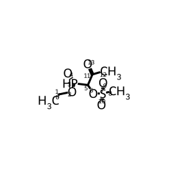 CCO[PH](=O)C(OS(C)(=O)=O)C(C)=O